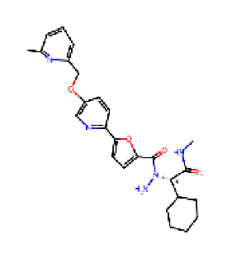 CNC(=O)[C@H](C1CCCCC1)N(N)C(=O)c1ccc(-c2ccc(OCc3cccc(C)n3)cn2)o1